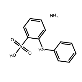 N.O=S(=O)(O)c1ccccc1Nc1ccccc1